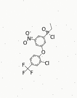 CCP(=O)(Cl)c1cc(Oc2ccc(C(F)(F)F)cc2Cl)cc([N+](=O)[O-])c1